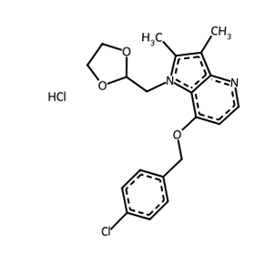 Cc1c(C)n(CC2OCCO2)c2c(OCc3ccc(Cl)cc3)ccnc12.Cl